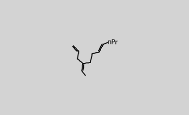 C=CC/C(=C/C)CC/C=C/CCC